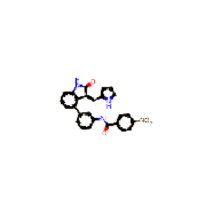 O=C1Nc2cccc(-c3cccc(NC(=O)c4ccc([N+](=O)[O-])cc4)c3)c2C1=Cc1ccc[nH]1